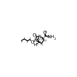 CCCCON1C(=O)N2C[C@@H]1CC[C@H]2C(N)=O